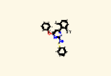 CC(C)c1cccc(C(C)C)c1-c1cc(Oc2ccccc2)nc(NSc2ccccc2)n1